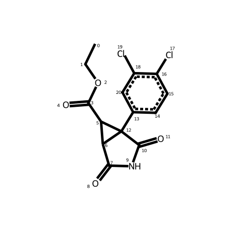 CCOC(=O)C1C2C(=O)NC(=O)C21c1ccc(Cl)c(Cl)c1